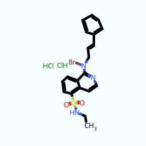 CCNS(=O)(=O)c1cccc2c(N(Br)CC=Cc3ccccc3)nccc12.Cl.Cl